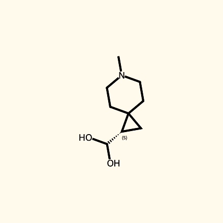 CN1CCC2(CC1)C[C@@H]2C(O)O